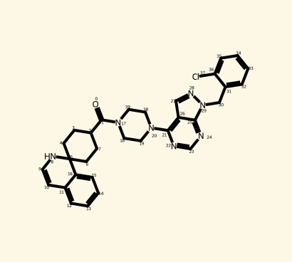 O=C(C1CCC2(CC1)NC=Cc1ccccc12)N1CCN(c2ncnc3c2cnn3Cc2ccccc2Cl)CC1